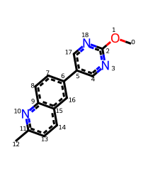 COc1ncc(-c2ccc3nc(C)ccc3c2)cn1